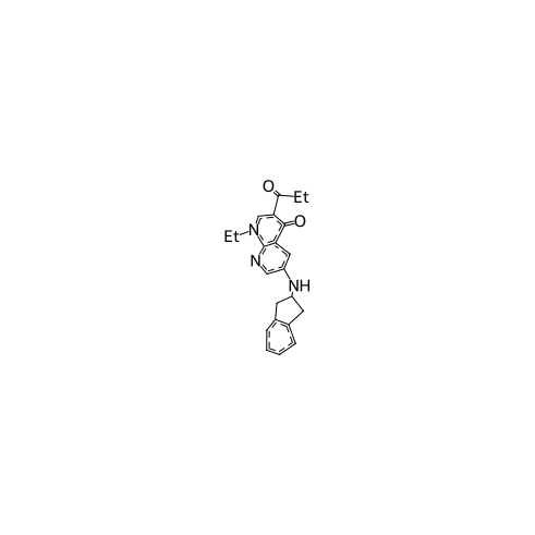 CCC(=O)c1cn(CC)c2ncc(NC3Cc4ccccc4C3)cc2c1=O